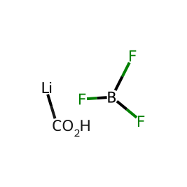 FB(F)F.[Li][C](=O)O